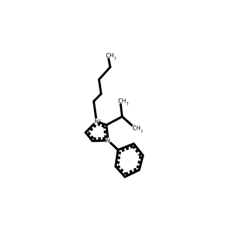 CCCCC[n+]1ccn(-c2ccccc2)c1C(C)C